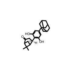 CC1(C)C2CC1[C@H](c1c(O)cc(C34CC5CC(CC(C5)C3)C4)cc1O)CC2=O